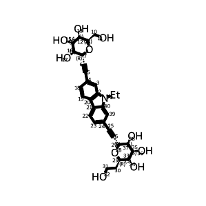 CCn1c2cc(C#C[C@H]3O[C@H](CO)[C@@H](O)[C@H](O)[C@@H]3O)ccc2c2ccc(C#C[C@H]3O[C@H](CCO)[C@@H](O)[C@H](O)[C@@H]3O)cc21